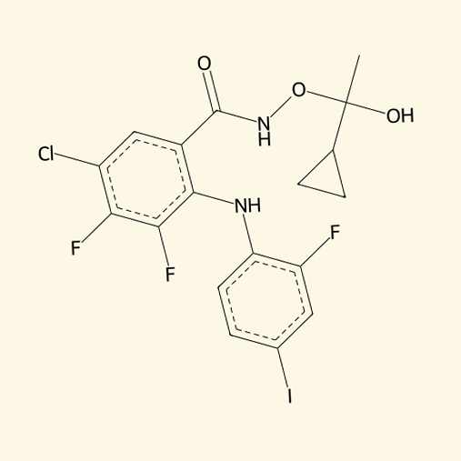 CC(O)(ONC(=O)c1cc(Cl)c(F)c(F)c1Nc1ccc(I)cc1F)C1CC1